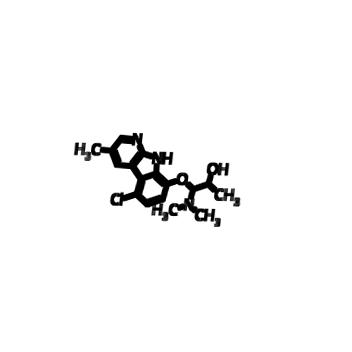 Cc1cnc2[nH]c3c(OC(C(C)O)N(C)C)ccc(Cl)c3c2c1